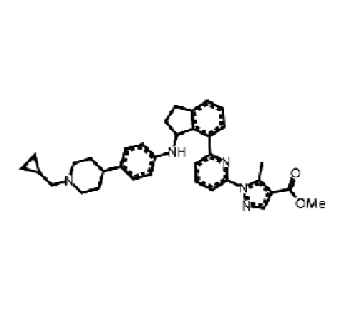 COC(=O)c1cnn(-c2cccc(-c3cccc4c3C(Nc3ccc(C5CCN(CC6CC6)CC5)cc3)CC4)n2)c1C